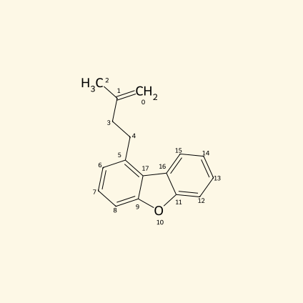 C=C(C)CCc1cccc2oc3ccccc3c12